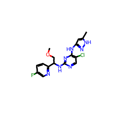 COCC(Nc1ncc(Cl)c(Nc2cc(C)[nH]n2)n1)c1ccc(F)cn1